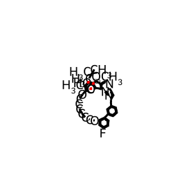 Cc1ccc2cc1OCCCCCCOc1cc(F)ccc1-c1cccc(c1)-c1cc3nc(C)c([C@H](OC(C)(C)C)C(=O)O)c-2n3n1